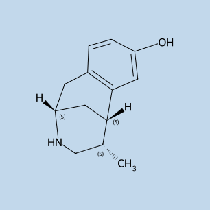 C[C@@H]1CN[C@@H]2Cc3ccc(O)cc3[C@H]1C2